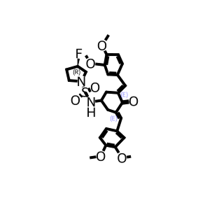 COc1ccc(/C=C2\CC(NS(=O)(=O)N3CC[C@@H](F)C3)C/C(=C\c3ccc(OC)c(OC)c3)C2=O)cc1OC